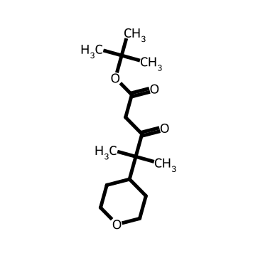 CC(C)(C)OC(=O)CC(=O)C(C)(C)C1CCOCC1